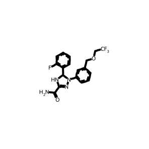 NC(=O)C1=NN(c2cccc(COCC(F)(F)F)c2)C(c2ccccc2F)N1